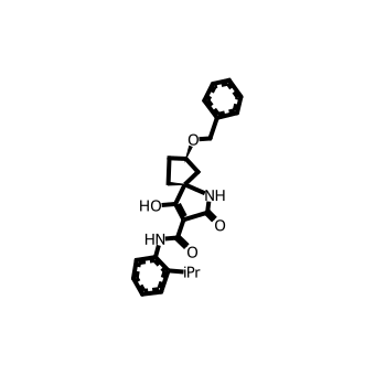 CC(C)c1ccccc1NC(=O)C1=C(O)[C@@]2(CC[C@@H](OCc3ccccc3)C2)NC1=O